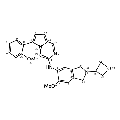 COc1cc2c(cc1Nc1ncc3ccc(-c4ccccc4OC)n3n1)CN(C1COC1)C2